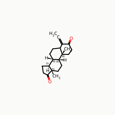 C=C=C1C(=O)CC[C@@]2(C)C1CC[C@@H]1[C@H]2CC[C@]2(C)C(=O)CC[C@@H]12